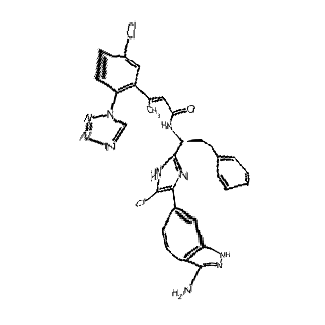 C/C(=C\C(=O)N[C@@H](Cc1ccccc1)c1nc(-c2ccc3c(N)n[nH]c3c2)c(Cl)[nH]1)c1cc(Cl)ccc1-n1cnnn1